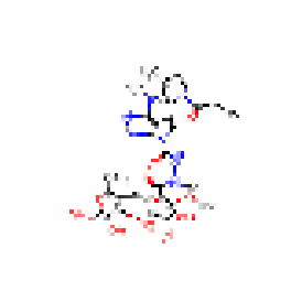 CCN(NC(=O)n1ccc2c(N(C)[C@H]3CN(C(=O)CC#N)CC[C@H]3C)ncnc21)C(=O)C1O[C@@H](OC2C(NC(C)=O)[C@H](OC)OC(CO)[C@H]2O)C(O)C(O)[C@@H]1OC(C)C